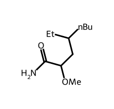 CCCCC(CC)CC(OC)C(N)=O